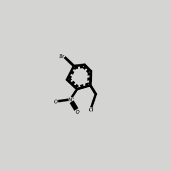 O=[N+]([O-])c1cc(Br)ccc1CCl